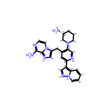 Nc1nccn2c(Cc3cc(-c4cnn5ccccc45)ncc3N3CCC[C@@H](N)C3)cnc12